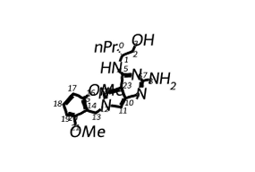 CCC[C@H](CO)Nc1nc(N)nc2cn(Cc3c(OC)cccc3OC)nc12